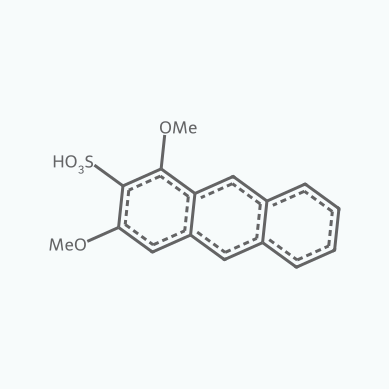 COc1cc2cc3ccccc3cc2c(OC)c1S(=O)(=O)O